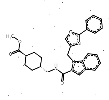 COC(=O)[C@H]1CC[C@H](CNC(=O)c2cc3ccccc3n2Cc2coc(-c3ccccc3)n2)CC1